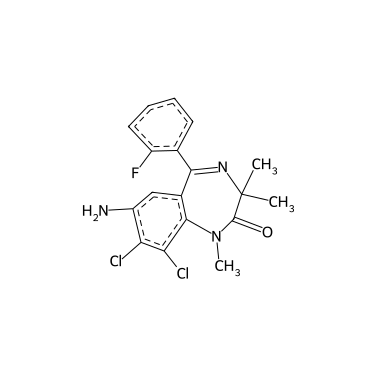 CN1C(=O)C(C)(C)N=C(c2ccccc2F)c2cc(N)c(Cl)c(Cl)c21